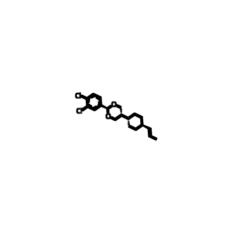 C/C=C/[C@H]1CC[C@H]([C@H]2CO[C@H](c3ccc(Cl)c(Cl)c3)OC2)CC1